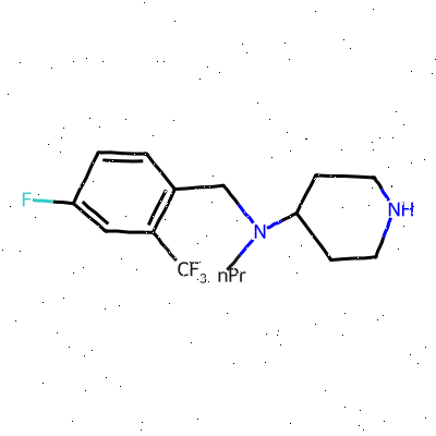 CCCN(Cc1ccc(F)cc1C(F)(F)F)C1CCNCC1